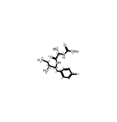 COC(=O)N[C@H](C(=O)N[C@@H](Cc1ccc(I)cc1)[C@@H](O)CN)C(C)(C)C